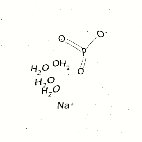 O.O.O.O.O=P(=O)[O-].[Na+]